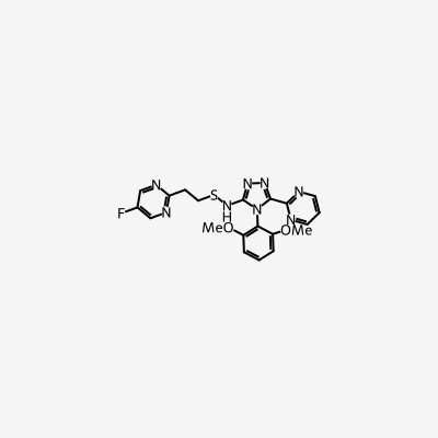 COc1cccc(OC)c1-n1c(NSCCc2ncc(F)cn2)nnc1-c1ncccn1